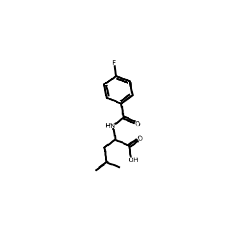 CC(C)CC(NC(=O)c1ccc(F)cc1)C(=O)O